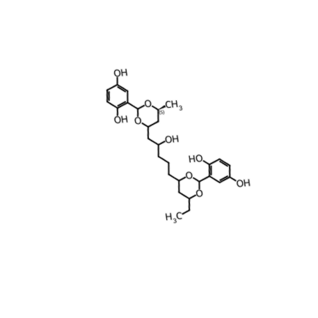 CCC1CC(CCCC(O)CC2C[C@H](C)OC(c3cc(O)ccc3O)O2)OC(c2cc(O)ccc2O)O1